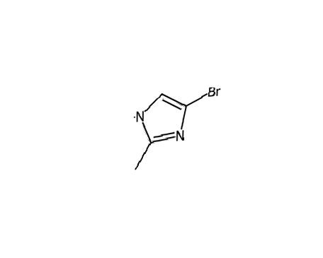 CC1=NC(Br)=C[N]1